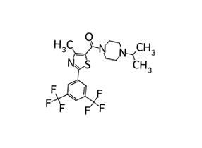 Cc1nc(-c2cc(C(F)(F)F)cc(C(F)(F)F)c2)sc1C(=O)N1CCN(C(C)C)CC1